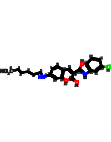 O=C(O)CCCCCNc1ccc2cc(-c3nc4cc(Cl)ccc4o3)c(=O)oc2c1